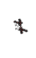 Cc1cc(-c2ccc(N(c3ccc(-c4ccc(-c5ccccc5)cc4)cc3)c3ccccc3-c3cccc4c3sc3ccccc34)c(C)c2)ccc1N(c1ccc(-c2ccc(-c3ccccc3)cc2)cc1)c1ccccc1-c1cccc2c1sc1ccccc12